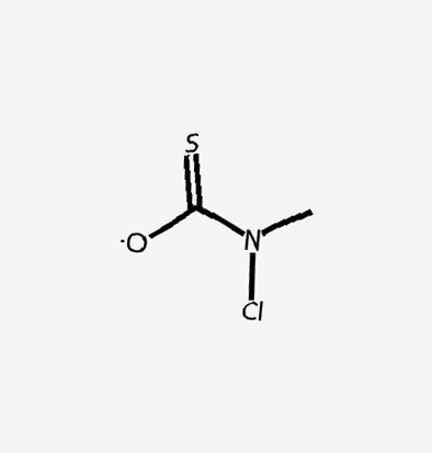 CN(Cl)C([O])=S